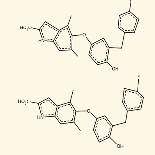 Cc1cc2[nH]c(C(=O)O)cc2c(C)c1Oc1ccc(O)c(Cc2ccc(F)cc2)c1.Cc1cc2[nH]c(C(=O)O)cc2c(C)c1Oc1ccc(O)c(Cc2ccc(F)cc2)c1